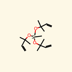 C=CC(C)(C)O[Si](C)(OC(C)(C)C=C)OC(C)(C)C=C